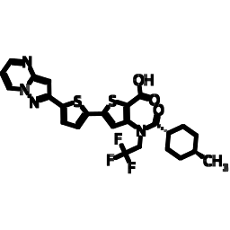 C[C@H]1CC[C@H](C(=O)N(CC(F)(F)F)c2cc(-c3ccc(-c4cc5ncccn5n4)s3)sc2C(=O)O)CC1